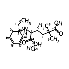 CC[C@]1(NC(CCC(C)(C)C(=O)O)C(=O)O)C=CC=CC1.Cl